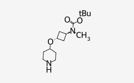 CN(C(=O)OC(C)(C)C)[C@H]1C[C@H](OC2CCNCC2)C1